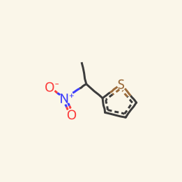 CC(c1cccs1)[N+](=O)[O-]